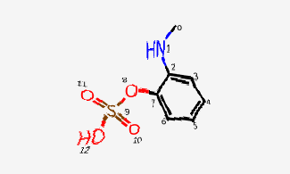 CNc1ccccc1OS(=O)(=O)O